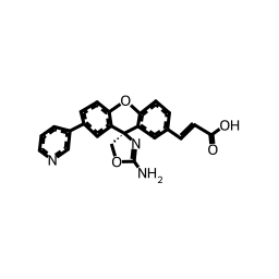 NC1=N[C@]2(CO1)c1cc(/C=C/C(=O)O)ccc1Oc1ccc(-c3cccnc3)cc12